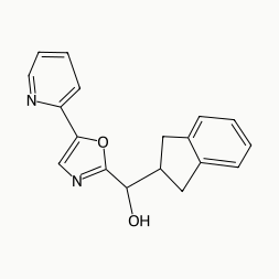 OC(c1ncc(-c2ccccn2)o1)C1Cc2ccccc2C1